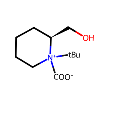 CC(C)(C)[N+]1(C(=O)[O-])CCCC[C@H]1CO